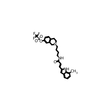 Cc1cccc2cc(/C=C/C(=O)NCCCCN3CCc4ccc(OS(=O)(=O)C(F)(F)F)cc4C3)[nH]c12